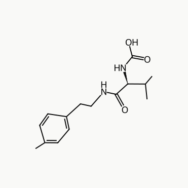 Cc1ccc(CCNC(=O)[C@@H](NC(=O)O)C(C)C)cc1